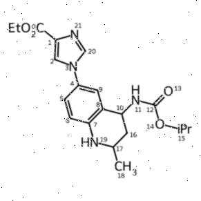 CCOC(=O)c1cn(-c2ccc3c(c2)C(NC(=O)OC(C)C)CC(C)N3)cn1